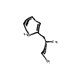 CC/C(=C\C(C)C)c1ccc[nH]1